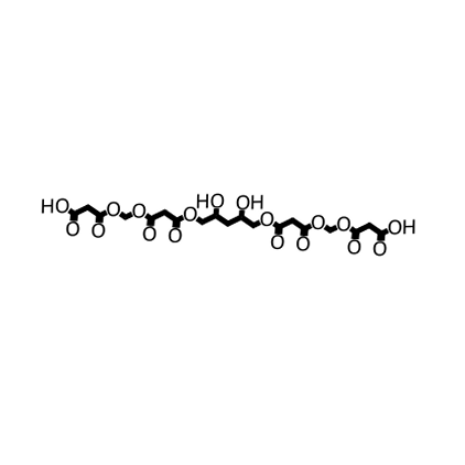 O=C(O)CC(=O)OCOC(=O)CC(=O)OCC(O)CC(O)COC(=O)CC(=O)OCOC(=O)CC(=O)O